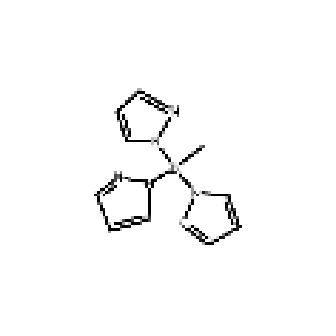 C[B-](n1cccn1)(n1cccn1)n1cccn1